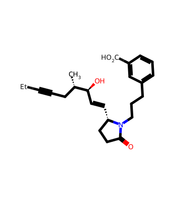 CCC#CC[C@H](C)[C@@H](O)C=C[C@H]1CCC(=O)N1CCCc1cccc(C(=O)O)c1